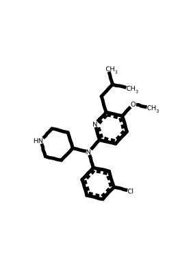 COc1ccc(N(c2cccc(Cl)c2)C2CCNCC2)nc1CC(C)C